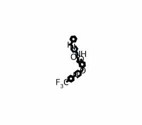 O=C(NC1CCN(C(I)c2ccccc2)CC1)c1cc2cc(OC3CCN(c4ccc(C(F)(F)F)cc4)CC3)ccc2o1